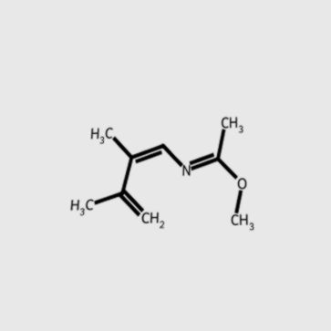 C=C(C)/C(C)=C\N=C(/C)OC